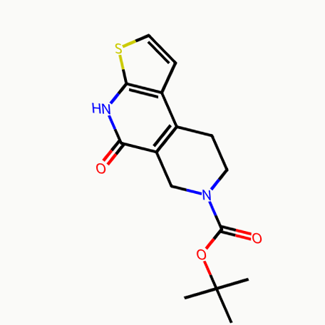 CC(C)(C)OC(=O)N1CCc2c(c(=O)[nH]c3sccc23)C1